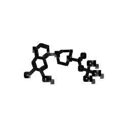 Cc1cc2c(N3CCN(C(=O)OC(C)(C)C)CC3)ccnc2cc1Cl